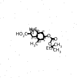 CCC(C)(C)OC(=O)Oc1cc(C)c(CC(N)C(=O)O)c(C)c1